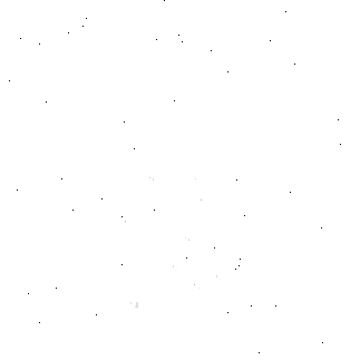 COc1ccc2c(C(=O)Nc3ccc(Br)cc3-c3nnn[nH]3)noc2c1.NC(=O)c1onc2ccccc12